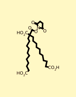 O=C(O)CCCCCCCCCCC(CCCCCCCCCCC(=O)O)(C(=O)O)C(=O)ON1C(=O)CCC1=O